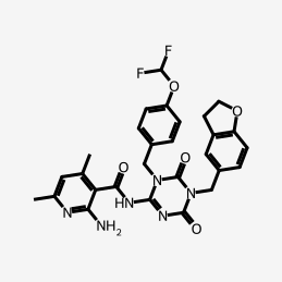 Cc1cc(C)c(C(=O)Nc2nc(=O)n(Cc3ccc4c(c3)CCO4)c(=O)n2Cc2ccc(OC(F)F)cc2)c(N)n1